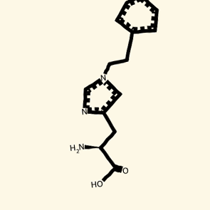 N[C@@H](Cc1cn(CCc2ccccc2)cn1)C(=O)O